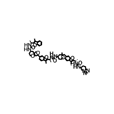 Cc1c([C@H](C)NC(=O)NC2CCc3ncnn3C2)oc2cc(CC3(C)CC(NC(=O)N[C@@H](C)c4oc5cc(C6CC7(CO6)CC(NC(=O)N[C@@H](C)c6oc8ccccc8c6C)CCO7)ccc5c4C)CCO3)ccc12